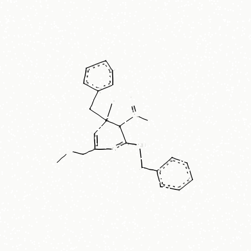 COCC1=CC(N)(Cc2ccccc2)C([N+](=O)[O-])C(NCc2ccccc2)=N1